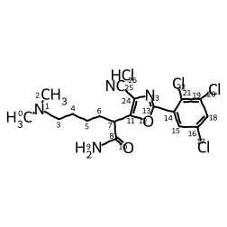 CN(C)CCCCC(C(N)=O)c1oc(-c2cc(Cl)cc(Cl)c2Cl)nc1C#N.Cl